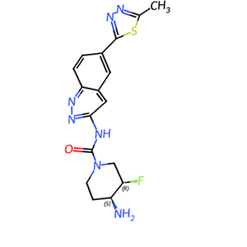 Cc1nnc(-c2ccc3nnc(NC(=O)N4CC[C@H](N)[C@H](F)C4)cc3c2)s1